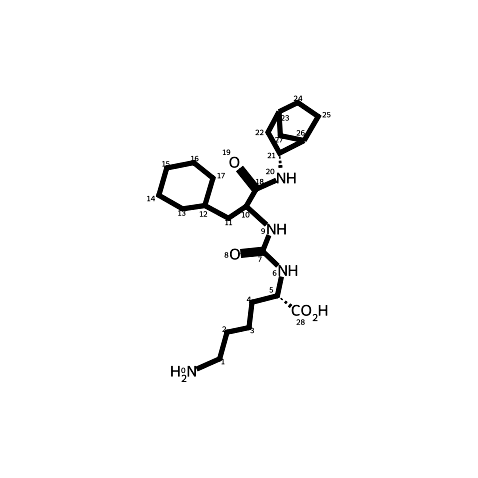 NCCCC[C@H](NC(=O)NC(CC1CCCCC1)C(=O)N[C@@H]1CC2CCC1C2)C(=O)O